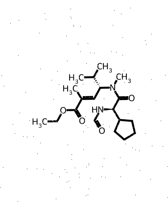 CCOC(=O)/C(C)=C/[C@H](C(C)C)N(C)C(=O)[C@H](NC=O)C1CCCC1